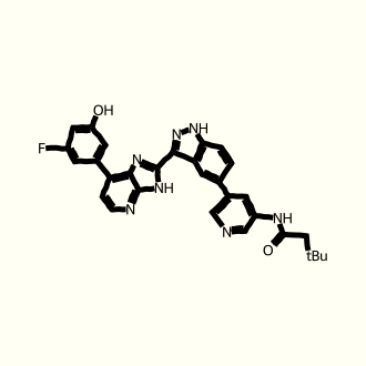 CC(C)(C)CC(=O)Nc1cncc(-c2ccc3[nH]nc(-c4nc5c(-c6cc(O)cc(F)c6)ccnc5[nH]4)c3c2)c1